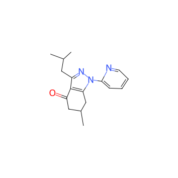 CC(C)Cc1nn(-c2ccccn2)c2c1C(=O)CC(C)C2